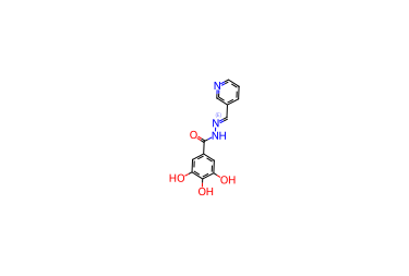 O=C(N/N=C/c1cccnc1)c1cc(O)c(O)c(O)c1